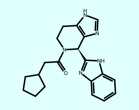 O=C(CC1CCCC1)N1CCc2[nH]cnc2[C@H]1c1nc2ccccc2[nH]1